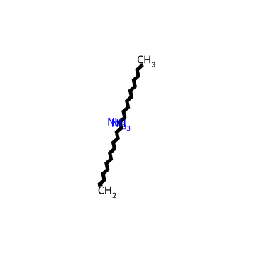 C=CCCCCCCCCCCCCCCCCCCCCCCCC.N.N